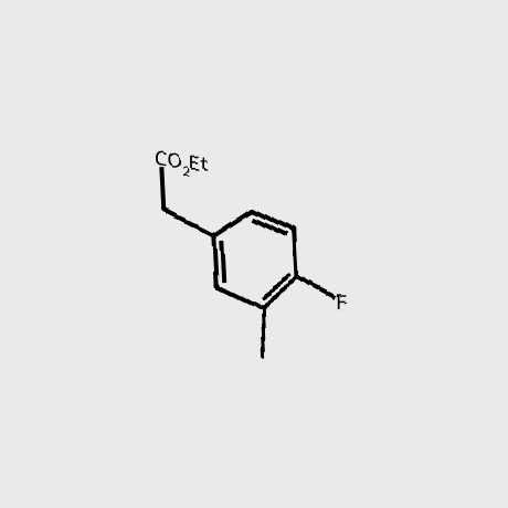 CCOC(=O)Cc1ccc(F)c(C)c1